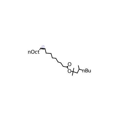 CCCCCCCC/C=C\CCCCCCCC(=O)OC(C)(C)CC(C)CCCC